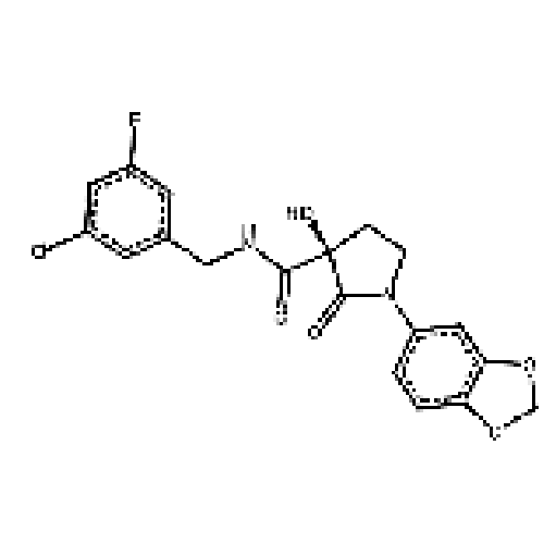 O=C(NCc1cc(F)cc(Cl)c1)[C@]1(O)CCN(c2ccc3c(c2)OCO3)C1=O